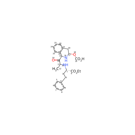 CCOC(=O)[C@H](CCc1ccccc1)NC(C)C(=O)C1NC(OC(=O)O)Cc2ccccc21